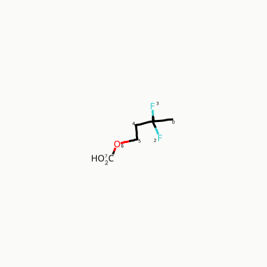 CC(F)(F)CCOC(=O)O